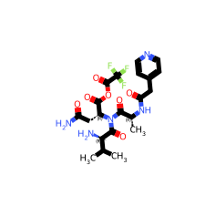 CC(C)[C@@H](N)C(=O)N(C(=O)[C@@H](C)NC(=O)Cc1ccncc1)[C@H](CC(N)=O)C(=O)OC(=O)C(F)(F)F